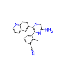 Cc1c(C#N)cccc1-c1nc(N)cnc1-c1ccc2ncccc2c1